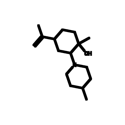 C=C(C)C1CCC(C)(O)C(N2CCC(C)CC2)C1